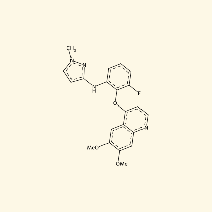 COc1cc2nccc(Oc3c(F)cccc3Nc3ccn(C)n3)c2cc1OC